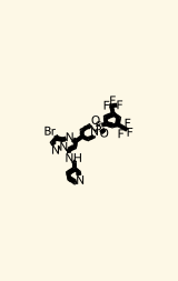 O=S(=O)(c1cc(C(F)(F)F)cc(C(F)(F)F)c1)N1CCC(c2cc(NCc3cccnc3)n3ncc(Br)c3n2)CC1